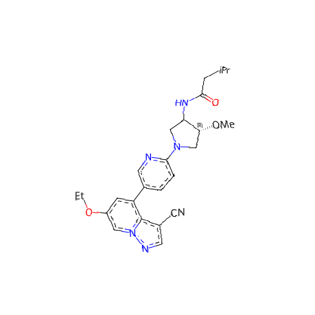 CCOc1cc(-c2ccc(N3CC(NC(=O)CC(C)C)[C@H](OC)C3)nc2)c2c(C#N)cnn2c1